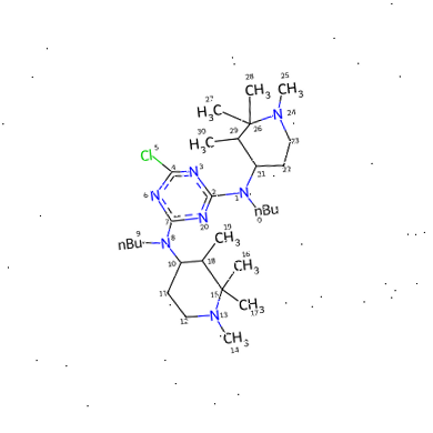 CCCCN(c1nc(Cl)nc(N(CCCC)C2CCN(C)C(C)(C)C2C)n1)C1CCN(C)C(C)(C)C1C